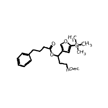 CCCCCCCCCCCCC(OC(=O)CCCc1ccccc1)c1coc([Si](C)(C)C)c1